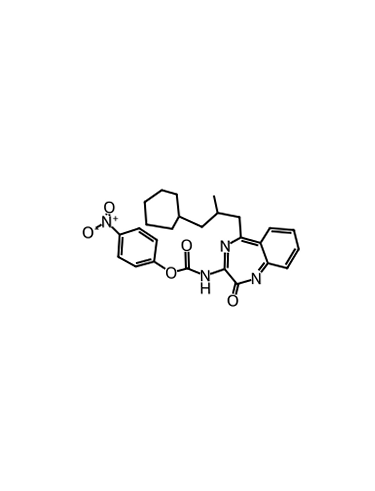 CC(Cc1nc(NC(=O)Oc2ccc([N+](=O)[O-])cc2)c(=O)nc2ccccc12)CC1CCCCC1